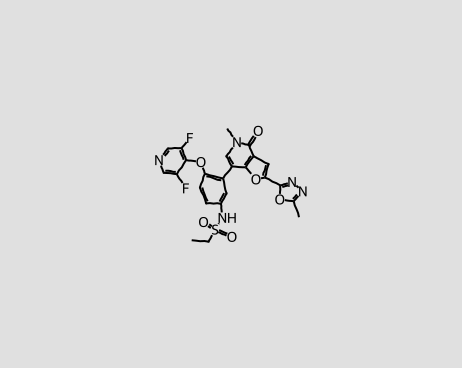 CCS(=O)(=O)Nc1ccc(Oc2c(F)cncc2F)c(-c2cn(C)c(=O)c3cc(-c4nnc(C)o4)oc23)c1